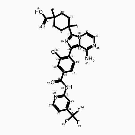 CC1(C(=O)O)CCC(C)(c2nc(-c3ccc(C(=O)Nc4cc(C(F)(F)F)ccn4)cc3Cl)c3c(N)nccn23)CC1